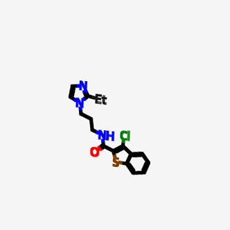 CCc1nccn1CCCNC(=O)c1sc2ccccc2c1Cl